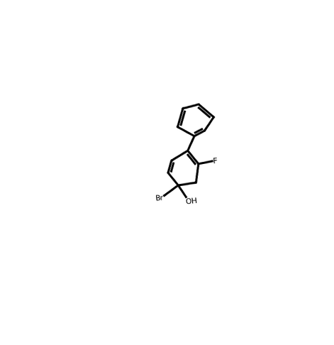 OC1(Br)C=CC(c2ccccc2)=C(F)C1